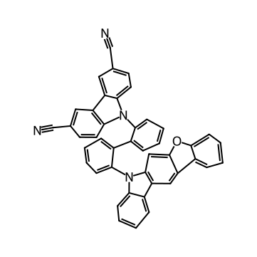 N#Cc1ccc2c(c1)c1cc(C#N)ccc1n2-c1ccccc1-c1ccccc1-n1c2ccccc2c2cc3c(cc21)oc1ccccc13